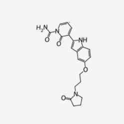 NC(=O)n1c[c]cc(-c2cc3cc(OCCCN4CCCC4=O)ccc3[nH]2)c1=O